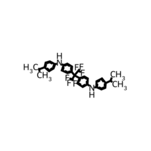 CC(C)c1ccc(Nc2ccc(C(c3ccc(Nc4ccc(C(C)C)cc4)cc3)(C(F)(F)F)C(F)(F)F)cc2)cc1